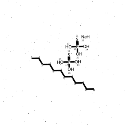 CCCCCCCCCCCC.OP(O)(O)=S.OP(O)(O)=S.[NaH]